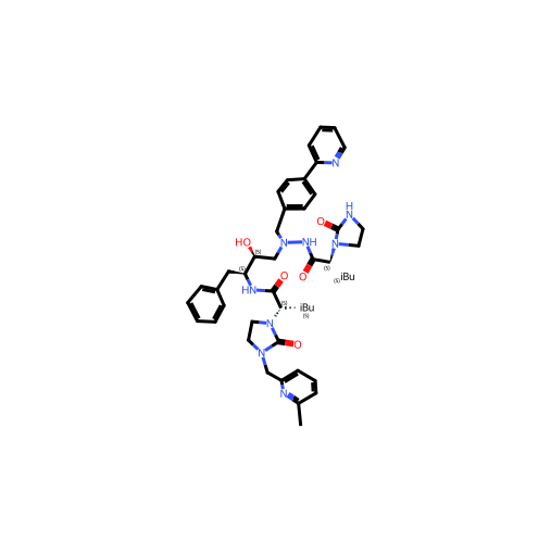 CC[C@H](C)[C@@H](C(=O)NN(Cc1ccc(-c2ccccn2)cc1)C[C@H](O)[C@H](Cc1ccccc1)NC(=O)[C@H]([C@@H](C)CC)N1CCN(Cc2cccc(C)n2)C1=O)N1CCNC1=O